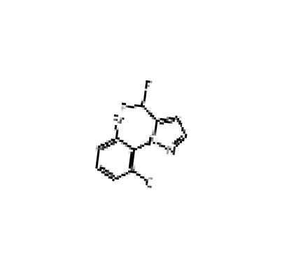 FC(F)c1[c]cnn1-c1c(Cl)cccc1Br